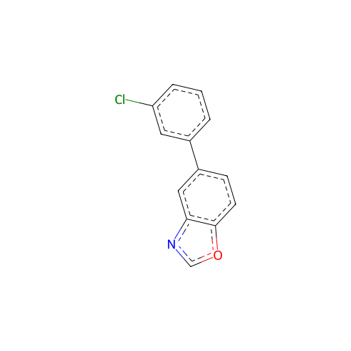 Clc1cccc(-c2ccc3ocnc3c2)c1